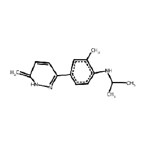 C=C1C=CC(c2ccc(NC(C)C)c(C)c2)=NN1